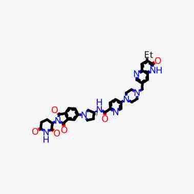 CCc1cc2ncc(CN3CCN(c4ccc(C(=O)N[C@H]5CCN(c6ccc7c(c6)C(=O)N(C6CCC(=O)NC6=O)C7=O)C5)nc4)CC3)cc2[nH]c1=O